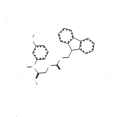 CCCOc1cccc(N(CC)/C(CNC(=O)OCC2c3ccccc3-c3ccccc32)=N/CC)c1